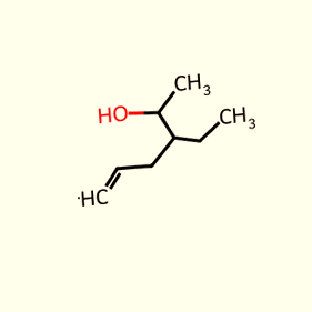 [CH]=CCC(CC)C(C)O